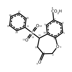 O=C1COc2ccc(C(=O)O)cc2C(S(=O)(=O)c2ccccc2)C1